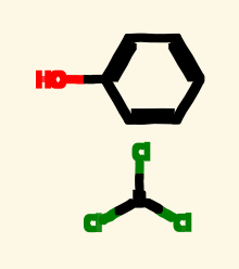 ClB(Cl)Cl.Oc1ccccc1